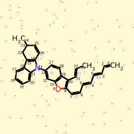 C=C/C=C/C=C/C=C\c1oc2cc(-n3c4c(c5ccccc53)CC(C)C=C4)ccc2c1/C=C/C